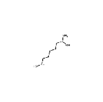 NN(O)CCCCCNO